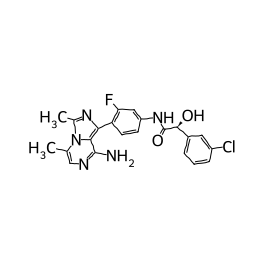 Cc1cnc(N)c2c(-c3ccc(NC(=O)[C@@H](O)c4cccc(Cl)c4)cc3F)nc(C)n12